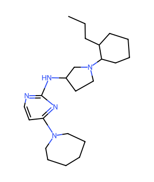 CCCC1CCCCC1N1CCC(Nc2nccc(N3CCCCCC3)n2)C1